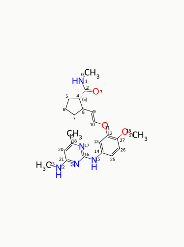 CNC(=O)[C@H]1CCCC1C=COc1cc(Nc2nc(C)cc(NC)n2)ccc1OC